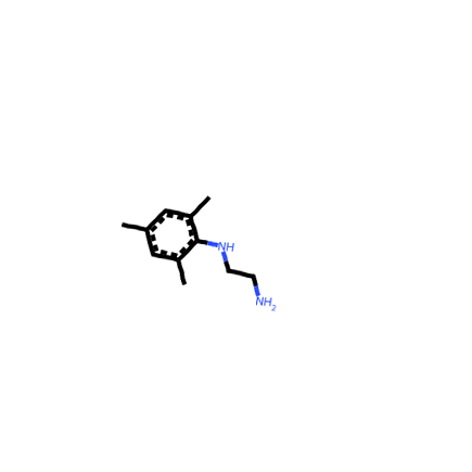 Cc1cc(C)c(NCCN)c(C)c1